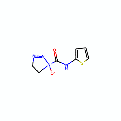 O=C(Nc1cccs1)[N+]1([O-])CCN=N1